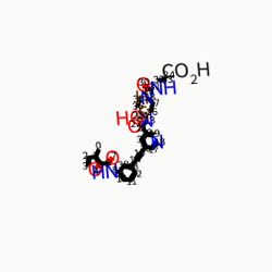 Cc1ccoc1C(=O)Nc1cccc(C#Cc2cncc(C(=O)N=[SH]3(O)CCN(C(=O)NCCC(=O)O)CC3)c2)c1